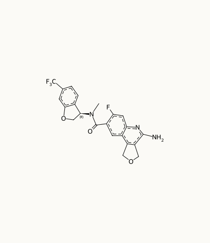 CN(C(=O)c1cc2c3c(c(N)nc2cc1F)COC3)[C@H]1COc2cc(C(F)(F)F)ccc21